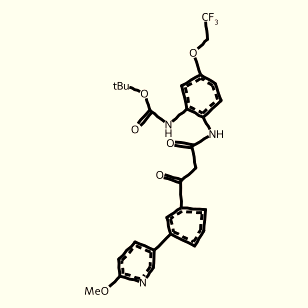 COc1ccc(-c2cccc(C(=O)CC(=O)Nc3ccc(OCC(F)(F)F)cc3NC(=O)OC(C)(C)C)c2)cn1